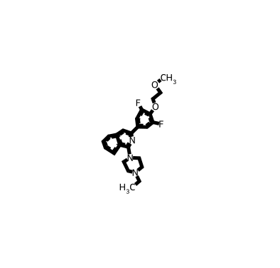 CCN1CCN(c2nc(-c3cc(F)c(OCCOC)c(F)c3)cc3ccccc23)CC1